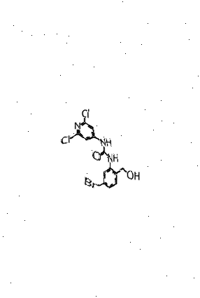 O=C(Nc1cc(Cl)nc(Cl)c1)Nc1cc(Br)ccc1CO